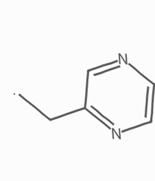 [CH2]Cc1cnccn1